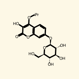 CC(C)Oc1c(O)c(=O)oc2cc(O[C@@H]3O[C@H](CO)[C@@H](O)[C@H](O)[C@H]3O)ccc12